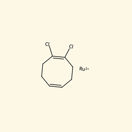 ClC1=C(Cl)CCC=CCC1.[Ru+2]